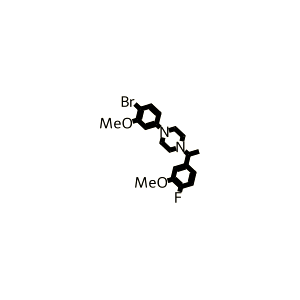 COc1cc(C(C)N2CCN(c3ccc(Br)c(OC)c3)CC2)ccc1F